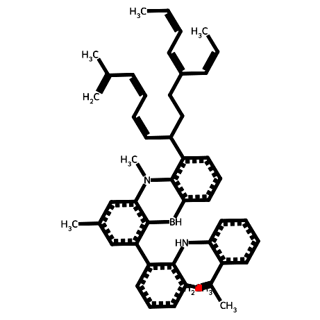 C=C(C)/C=C\C=C/C(CCC(/C=C\C)=C/C=C\C)c1cccc2c1N(C)c1cc(C)cc(-c3cccc(C)c3Nc3ccccc3C(=C)C)c1B2